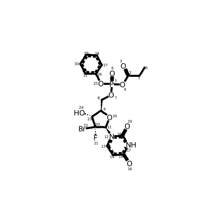 CCC(=O)OP(=O)(OC[C@H]1O[C@@H](n2ccc(=O)[nH]c2=O)[C@@](F)(Br)[C@@H]1O)Oc1ccccc1